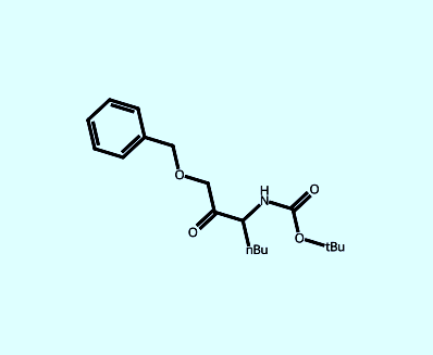 CCCCC(NC(=O)OC(C)(C)C)C(=O)COCc1ccccc1